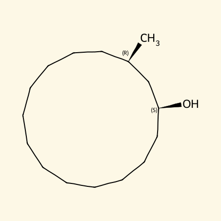 C[C@@H]1CCCCCCCCCCCC[C@H](O)C1